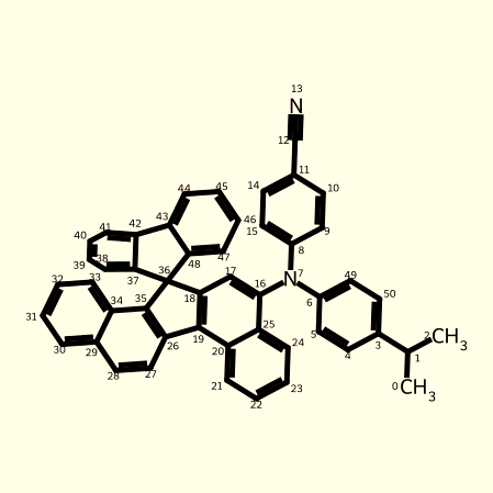 CC(C)c1ccc(N(c2ccc(C#N)cc2)c2cc3c(c4ccccc24)-c2ccc4ccccc4c2C32c3ccccc3-c3ccccc32)cc1